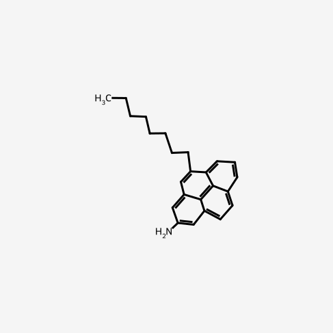 CCCCCCCCc1cc2cc(N)cc3ccc4cccc1c4c32